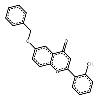 Cc1ccccc1-c1cc(=O)c2cc(OCc3ccccc3)ccc2o1